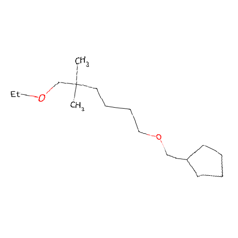 CCOCC(C)(C)CCCCOCC1CCCC1